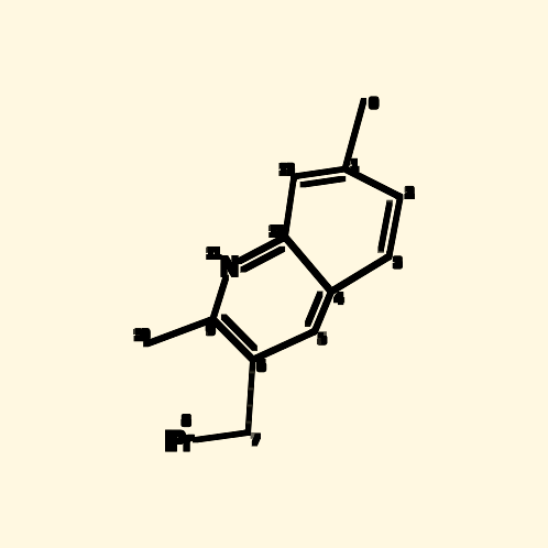 Cc1ccc2cc(CC(C)C)c(C)nc2c1